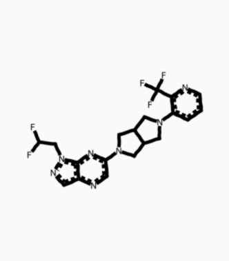 FC(F)Cn1ncc2ncc(N3CC4CN(c5cccnc5C(F)(F)F)CC4C3)nc21